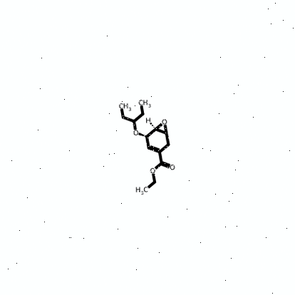 CCOC(=O)C1=C[C@@H](OC(CC)CC)[C@H]2OC2C1